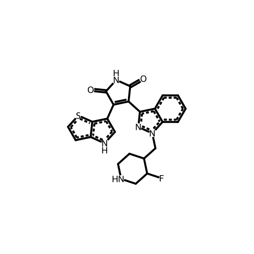 O=C1NC(=O)C(c2c[nH]c3ccsc23)=C1c1nn(CC2CCNCC2F)c2ccccc12